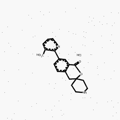 Cl.O=C1OC2(CCNCC2)Cc2ccc(-c3ncccc3C(=O)O)cc21